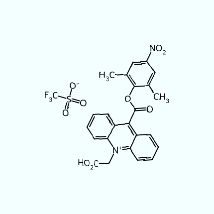 Cc1cc([N+](=O)[O-])cc(C)c1OC(=O)c1c2ccccc2[n+](CC(=O)O)c2ccccc12.O=S(=O)([O-])C(F)(F)F